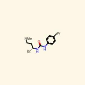 CC[C@H](CCNC)NC(=O)Nc1ccc(C(C)C)cc1